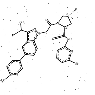 Cc1ncc(-c2ccc3c(c2)c(C(C)F)nn3CC(=O)N2C[C@H](F)C[C@H]2C(=O)Nc2cccc(Br)n2)cn1